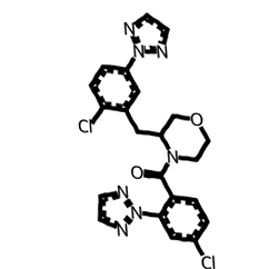 O=C(c1ccc(Cl)cc1-n1nccn1)N1CCOCC1Cc1cc(-n2nccn2)ccc1Cl